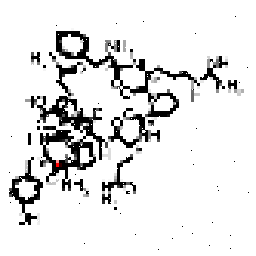 N=C(N)NCCC[C@H](NC(=O)[C@@H](N)Cc1ccccc1)C(=O)N1CCC[C@H]1C(=O)N[C@@H](CCC(N)=O)C(=O)N[C@@H](CCC(N)=O)C(=O)N1CCC[C@H]1C(=O)N[C@@H](Cc1ccc(O)cc1)C(=O)N1CCC[C@H]1C(=O)N[C@@H](CCC(N)=O)C(=O)O